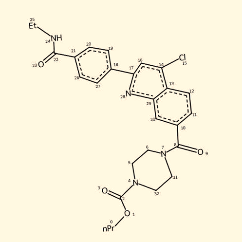 CCCOC(=O)N1CCN(C(=O)c2ccc3c(Cl)cc(-c4ccc(C(=O)NCC)cc4)nc3c2)CC1